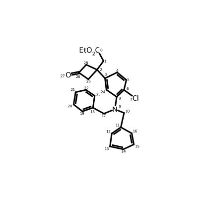 CCOC(=O)CC1(c2ccc(Cl)c(N(Cc3ccccc3)Cc3ccccc3)c2)CC(=O)C1